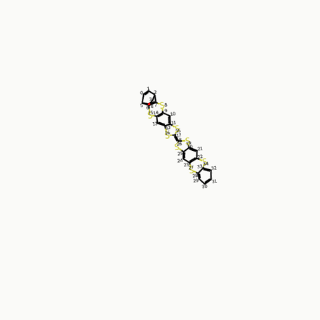 C1=CC2CCC1C1=C2Sc2cc3c(cc2S1)SC(=C1Sc2cc4c(cc2S1)Sc1ccccc1S4)S3